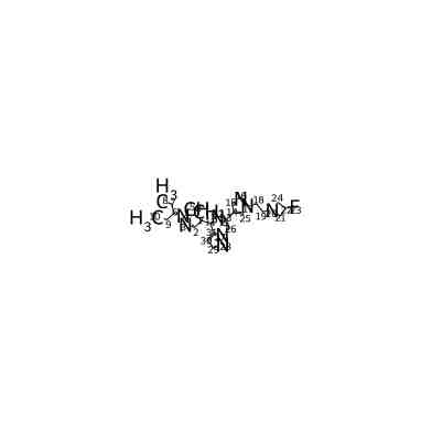 C=C(/C=N\N(C)C(CC)CC)c1nc(-c2cnn(CCN3CC(F)C3)c2)cn2nccc12